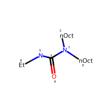 CCCCCCCCN(CCCCCCCC)C(=O)[N]CC